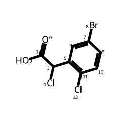 O=C(O)C(Cl)c1cc(Br)ccc1Cl